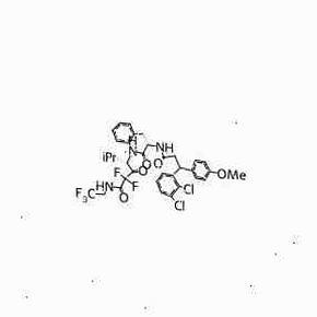 COc1ccc(C(CC(=O)N[C@@H](Cc2ccccc2)C(=O)N[C@H](C(=O)C(F)(F)C(=O)NCC(F)(F)F)C(C)C)c2cccc(Cl)c2Cl)cc1